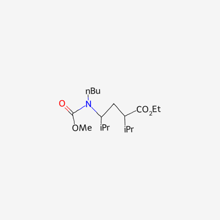 CCCCN(C(=O)OC)C(CC(C(=O)OCC)C(C)C)C(C)C